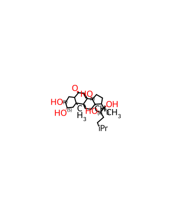 CC(C)CC[C@@H](O)[C@](C)(O)C1CC[C@@]2(O)C3=CC(=O)C4C[C@@H](O)[C@@H](O)CC4(C)C3=CCC12C